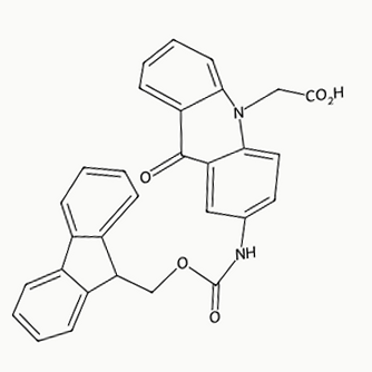 O=C(O)Cn1c2ccccc2c(=O)c2cc(NC(=O)OCC3c4ccccc4-c4ccccc43)ccc21